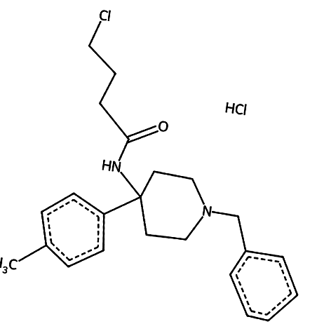 Cc1ccc(C2(NC(=O)CCCCl)CCN(Cc3ccccc3)CC2)cc1.Cl